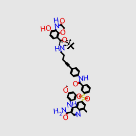 COc1cccc(Nc2c(C(N)=O)cnc3c(C)cc(S(=O)(=O)c4cccc(C(=O)Nc5ccc(C#CCCCNC[C@H](O[Si](C)(C)C(C)(C)C)c6ccc(O)c7c6OCC(=O)N7)cc5)c4)cc23)c1